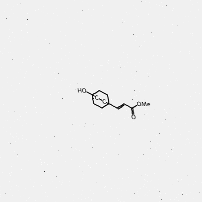 COC(=O)C=CC12CCC(O)(CC1)CC2